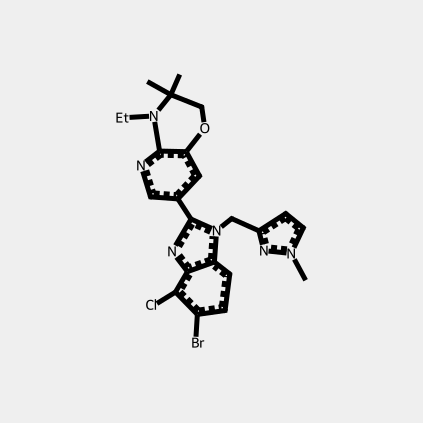 CCN1c2ncc(-c3nc4c(Cl)c(Br)ccc4n3Cc3ccn(C)n3)cc2OCC1(C)C